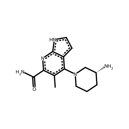 Cc1c(C(N)=O)nc2[nH]c[c]c2c1N1CCC[C@@H](N)C1